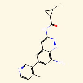 CCc1ccncc1-c1cc(N)c2nnc(NC(=O)C3CC3C#N)cc2c1